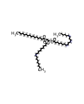 CCCCC/C=C\C/C=C\C/C=C\CCCCCCC(=O)OC[C@@H](COC(=O)CCCCCCCCCCCCCCC)OC(=O)CCCCCCC/C=C\CCCCCCCC